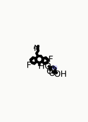 CC1c2ccc(F)cc2CC(CCN(C)C)c2ccc(F)cc21.O=C(O)/C=C\C(=O)O